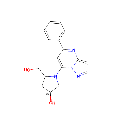 OCC1C[C@H](O)CN1c1cc(-c2ccccc2)nc2ccnn12